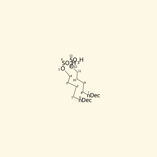 CCCCCCCCCCCCCCOS(=O)(=O)O.CCCCCCCCCCCCCCOS(=O)(=O)O